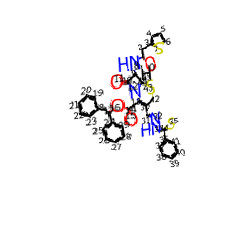 O=C(Cc1cccs1)NC1C(=O)N2C(C(=O)OC(c3ccccc3)c3ccccc3)=C(/C=N/NC(=S)c3ccccc3)CS[C@H]12